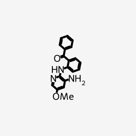 COc1cnc(Nc2ccccc2C(=O)c2ccccc2)c(N)c1